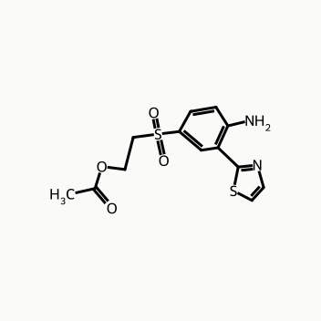 CC(=O)OCCS(=O)(=O)c1ccc(N)c(-c2nccs2)c1